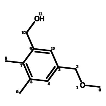 COCc1cc(C)c(C)c(CO)c1